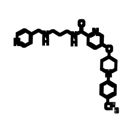 O=C(NCCCNCc1ccncc1)c1ccc(OC2CCN(c3ccc(C(F)(F)F)cc3)CC2)cn1